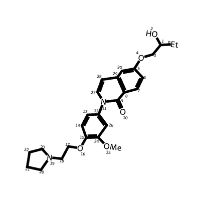 CCC(O)COc1ccc2c(=O)n(-c3ccc(OCCN4CCCC4)c(OC)c3)ccc2c1